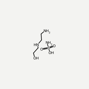 NCCNCCO.NS(=O)(=O)O